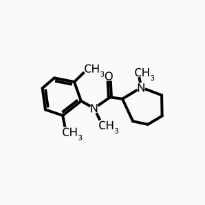 Cc1cccc(C)c1N(C)C(=O)C1CCCCN1C